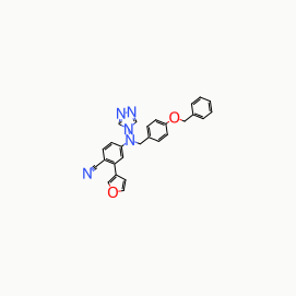 N#Cc1ccc(N(Cc2ccc(OCc3ccccc3)cc2)n2cnnc2)cc1-c1ccoc1